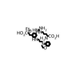 CCOC(Cc1cccc(NCCCN2CCOc3ccccc32)c1)C(=O)O.N=C(N)NCCCC(N)C(=O)O